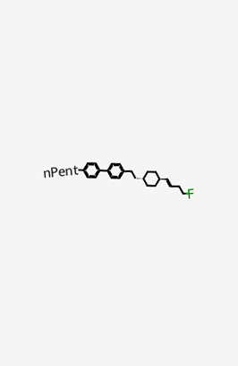 CCCCCc1ccc(-c2ccc(CC[C@H]3CC[C@H](C=CCCF)CC3)cc2)cc1